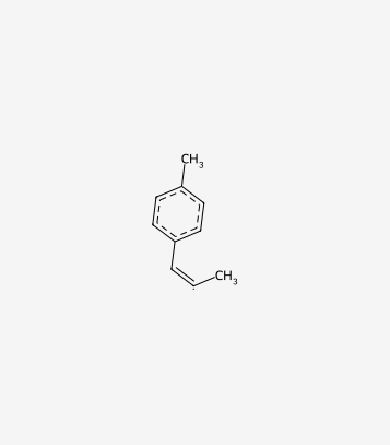 C/[C]=C\c1ccc(C)cc1